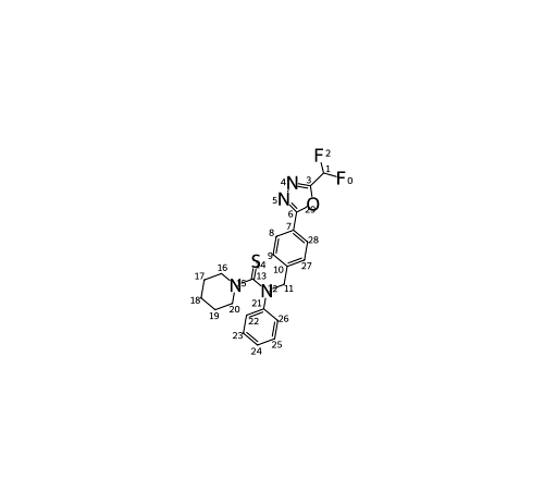 FC(F)c1nnc(-c2ccc(CN(C(=S)N3CCCCC3)c3ccccc3)cc2)o1